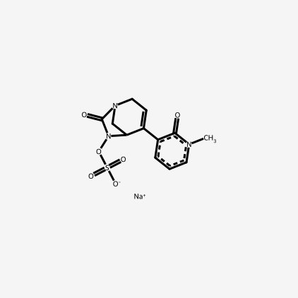 Cn1cccc(C2=CCN3CC2N(OS(=O)(=O)[O-])C3=O)c1=O.[Na+]